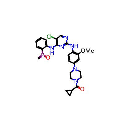 C=P(=O)c1ccccc1Nc1nc(Nc2ccc(N3CCN(C(=O)C4CC4)CC3)cc2OC)ncc1Cl